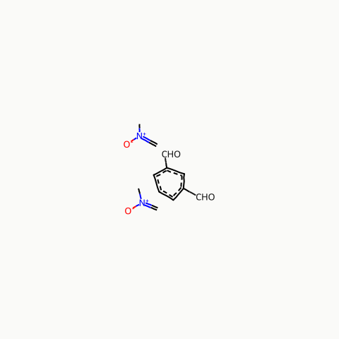 C=[N+](C)[O-].C=[N+](C)[O-].O=Cc1cccc(C=O)c1